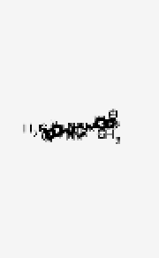 C=C1OCc2cc(-c3nc4n(n3)CCN(CCc3ccc5c(c3C)COC5=O)C4)ccc21